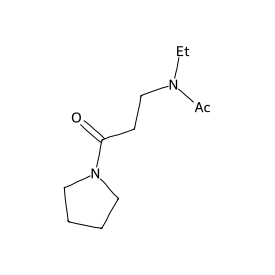 CCN(CCC(=O)N1CCCC1)C(C)=O